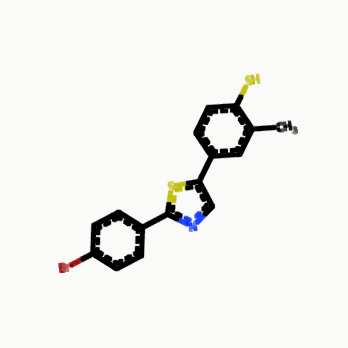 Cc1cc(-c2cnc(-c3ccc(Br)cc3)s2)ccc1S